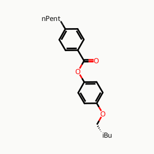 CCCCCc1ccc(C(=O)Oc2ccc(OC[C@@H](C)CC)cc2)cc1